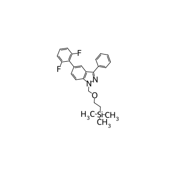 C[Si](C)(C)CCOCn1nc(-c2ccccc2)c2cc(-c3c(F)cccc3F)ccc21